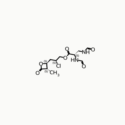 C[C@@H]1C(=O)O[C@H]1C[C@H](Cl)COC(=O)[C@H](CNC=O)NC=O